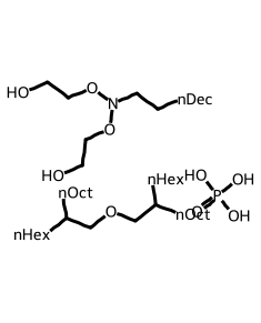 CCCCCCCCC(CCCCCC)COCC(CCCCCC)CCCCCCCC.CCCCCCCCCCCCN(OCCO)OCCO.O=P(O)(O)O